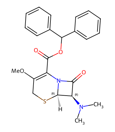 COC1=C(C(=O)OC(c2ccccc2)c2ccccc2)N2C(=O)[C@@H](N(C)C)[C@H]2SC1